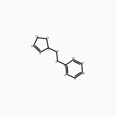 C1=CC(CCc2ccccc2)CC1